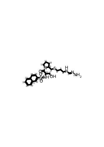 NN=CNCCCSCC1CCCN1C(=O)C(CO)NS(=O)(=O)c1ccc2ccccc2c1